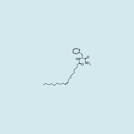 CCCCCCCC/C=C\CCCCCCCC(=O)N[C@@H](Cc1ccccc1)C(N)=O